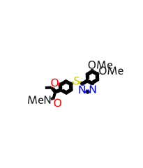 CNC(=O)c1c(C)oc2cc(Sc3ncnc4cc(OC)c(OC)cc34)ccc12